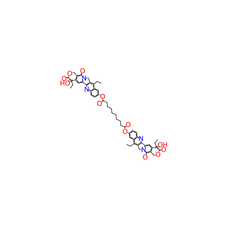 CCc1c2c(nc3ccc(OC(=O)CCCCCCCCC(=O)Oc4ccc5nc6c(c(CC)c5c4)Cn4c-6cc5c(c4=O)COC(=O)[C@]5(O)CC)cc13)-c1cc3c(c(=O)n1C2)COC(=O)[C@]3(O)CC